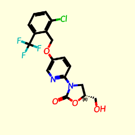 O=C1O[C@@H](CO)CN1c1ccc(OCc2c(Cl)cccc2C(F)(F)F)cn1